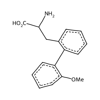 COc1ccccc1-c1ccccc1CC(N)C(=O)O